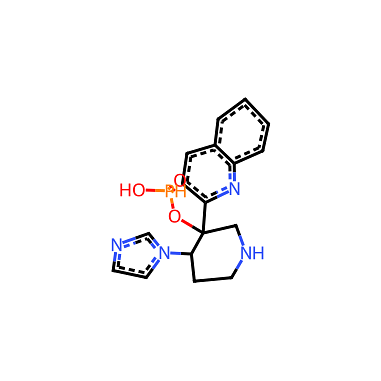 O=[PH](O)OC1(c2ccc3ccccc3n2)CNCCC1n1ccnc1